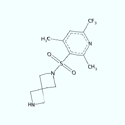 Cc1cc(C(F)(F)F)nc(C)c1S(=O)(=O)N1CC2(CNC2)C1